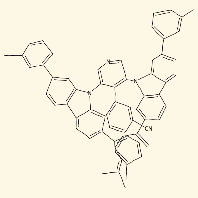 C=C(/C=C\C=C(C)C)c1ccc2c3ccc(-c4cccc(C)c4)cc3n(-c3cncc(-n4c5cc(-c6cccc(C)c6)ccc5c5ccc(-c6cccc(C)c6)cc54)c3-c3cccc(C#N)c3)c2c1